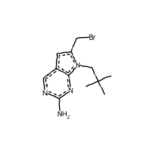 CC(C)(C)Cn1c(CBr)cc2cnc(N)nc21